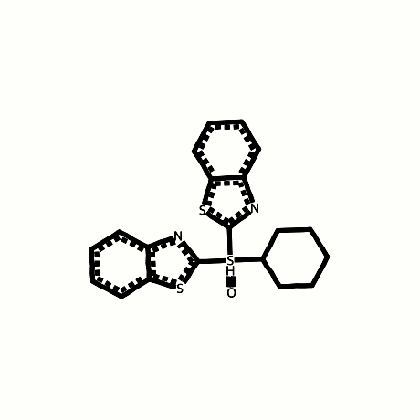 O=[SH](c1nc2ccccc2s1)(c1nc2ccccc2s1)C1CCCCC1